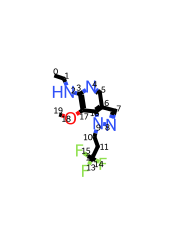 CCNc1ncc2cnn(CCC(F)(F)F)c2c1OC